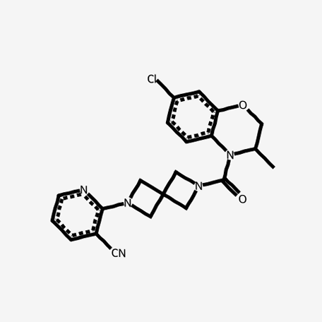 CC1COc2cc(Cl)ccc2N1C(=O)N1CC2(C1)CN(c1ncccc1C#N)C2